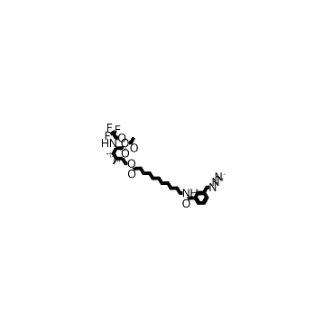 CC(=O)O[C@@H]1OC(COC(=O)CCCCCCCCCCNC(=O)c2cccc(CN=[N+]=[N-])c2)[C@@H](C)[C@H](C)C1NC(=O)C(F)(F)F